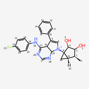 C[C@@H]1C(O)C(O)[C@@]2(N3C=C(c4ccccc4)C4C(Nc5ccc(F)cc5)=NC=NC43)C[C@@H]12